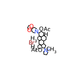 CC(=O)O[C@H]1C[C@@H]2CCC3C4C[C@H]([N+]5(C)CCCC5)[C@H](OC(C)=O)[C@@]4(C)CCC3[C@@]2(C)C[C@@H]1N1CCC2(CC1)OCCO2.[Br-]